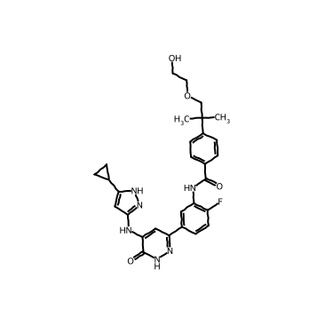 CC(C)(COCCO)c1ccc(C(=O)Nc2cc(-c3cc(Nc4cc(C5CC5)[nH]n4)c(=O)[nH]n3)ccc2F)cc1